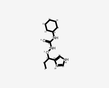 CCC(ONC(=O)NC1CCCCC1)c1c[nH]cn1